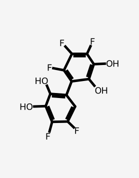 Oc1c(-c2c(O)c(O)c(F)c(F)c2F)cc(F)c(F)c1O